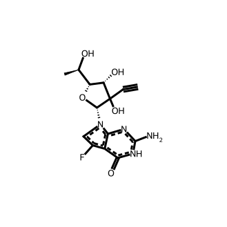 C#CC1(O)[C@@H](O)[C@@H]([C@@H](C)O)O[C@H]1n1cc(F)c2c(=O)[nH]c(N)nc21